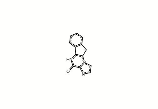 O=c1[nH]c2c(n3ccnc13)Cc1ccccc1-2